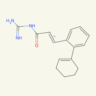 N=C(N)NC(=O)/C=C/c1ccccc1C1=CCCCC1